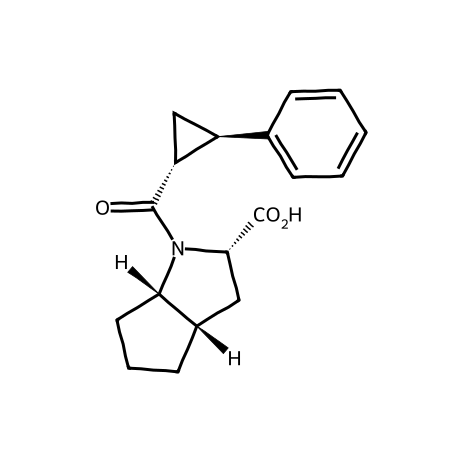 O=C(O)[C@@H]1C[C@@H]2CCC[C@@H]2N1C(=O)[C@@H]1C[C@H]1c1ccccc1